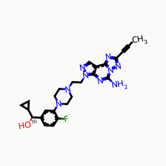 CC#Cc1nc2c3cnn(CCN4CCN(c5cc([C@@H](O)C6CC6)ccc5F)CC4)c3nc(N)n2n1